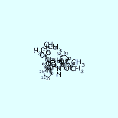 CC(C)(C)OC(=O)NCC1C(CNC(=O)OC(C)(C)C)C2CCC1N2C(=O)OCc1ccccc1